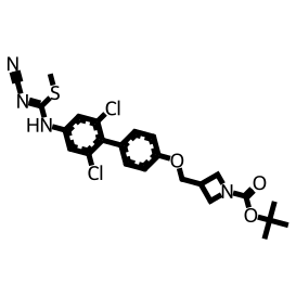 CS/C(=N\C#N)Nc1cc(Cl)c(-c2ccc(OCC3CN(C(=O)OC(C)(C)C)C3)cc2)c(Cl)c1